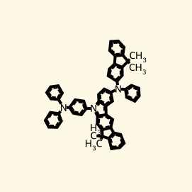 CC1(C)c2ccccc2-c2ccc(N(c3ccccc3)c3ccc4c(c3)c3cc5c(cc3n4-c3ccc(N(c4ccccc4)c4ccccc4)cc3)C(C)(C)c3ccccc3-5)cc21